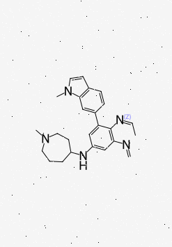 C=Nc1cc(NC2CCCN(C)CC2)cc(-c2ccc3ccn(C)c3c2)c1/N=C\C